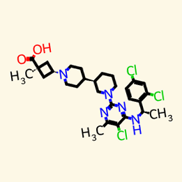 Cc1nc(N2CCC[C@H](C3CCN([C@H]4C[C@](C)(C(=O)O)C4)CC3)C2)nc(N[C@H](C)c2ccc(Cl)cc2Cl)c1Cl